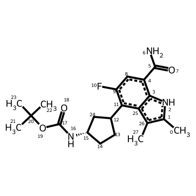 Cc1[nH]c2c(C(N)=O)cc(F)c(C3CC[C@H](NC(=O)OC(C)(C)C)C3)c2c1C